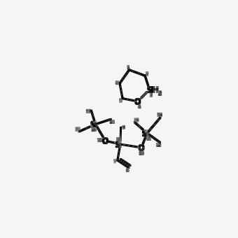 C1CC[SiH2]OC1.C=C[Si](C)(O[Si](C)(C)C)O[Si](C)(C)C